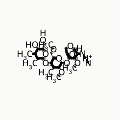 COC[C@@H]1O[C@@H](O[C@H]2C3CO[C@H](O3)C(N=[N+]=[N-])[C@@H]2OC)C(OC)C(C)[C@@H]1O[C@H]1O[C@@H](CO)[C@@H](O)C(C)C1C